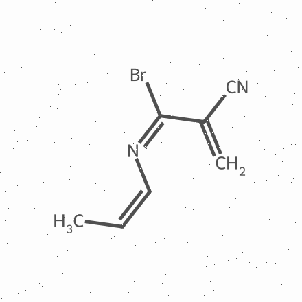 C=C(C#N)/C(Br)=N\C=C/C